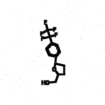 OCC1CCC(c2ccc(C(F)(F)C(F)(F)F)cc2)O1